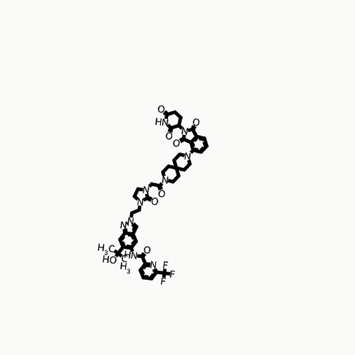 CC(C)(O)c1cc2nn(CCN3CCN(CC(=O)N4CCC5(CC4)CCN(c4cccc6c4C(=O)N(C4CCC(=O)NC4=O)C6=O)CC5)C3=O)cc2cc1NC(=O)c1cccc(C(F)(F)F)n1